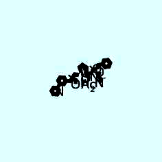 CC(=O)OC[C@@](C)(/C=C/[C@@H]1CCCN1C(=O)[C@@H](NC(=O)[C@H](C)N)[C@@H](C)OCc1ccccc1)Cc1cccc(-c2ccccn2)c1